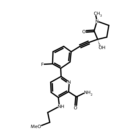 COCCNc1ccc(-c2cc(C#C[C@]3(O)CCN(C)C3=O)ccc2F)nc1C(N)=O